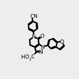 N#Cc1ccc(N2CCc3c(C(=O)O)nn(-c4ccc5occc5c4)c3C2=O)cc1